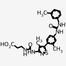 Cc1cccc(NC(=O)Nc2ccc(-c3snc(NC(=O)NCCC(=O)O)c3C)c(C)c2)c1